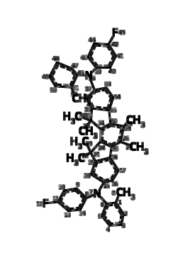 Cc1ccccc1N(c1ccc(F)cc1)c1ccc2c(c1)C(C)(C)c1c-2c(C)c(C)c2c1C(C)(C)c1cc(N(c3ccc(F)cc3)c3ccccc3C)ccc1-2